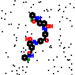 O=C(Nc1ccccc1F)c1ccc2c(N=Nc3ccc(C(=O)c4ccc(N=Nc5c(O)ccc6cc(CONc7ccccc7F)ccc56)cc4)cc3)c(O)ccc2c1